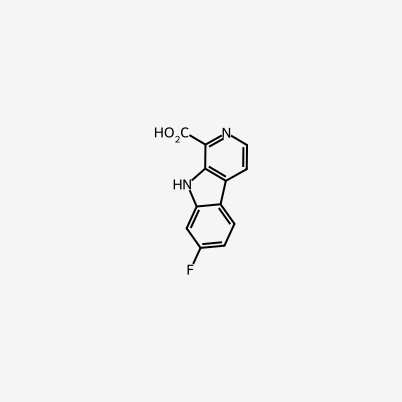 O=C(O)c1nccc2c1[nH]c1cc(F)ccc12